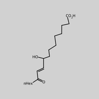 CCCCCCC(=O)/C=C/C(O)CCCCCCCC(=O)O